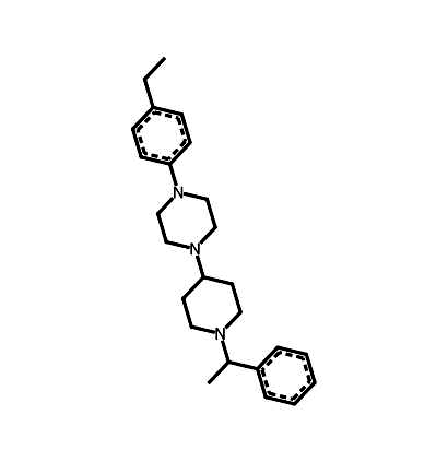 CCc1ccc(N2CCN(C3CCN(C(C)c4ccccc4)CC3)CC2)cc1